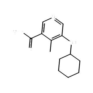 COC(=O)c1cncc(NC2CCCCC2)c1C